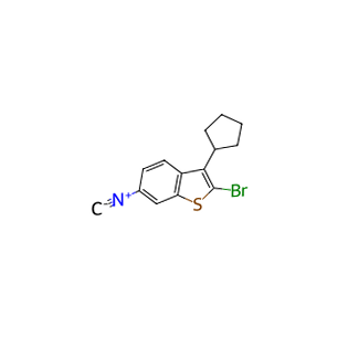 [C-]#[N+]c1ccc2c(C3CCCC3)c(Br)sc2c1